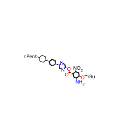 CCCCCC1CCC(c2ccc(-c3cnc(OC(=O)c4cc(N)c(OCC(C)CC)cc4[N+](=O)[O-])cn3)cc2)CC1